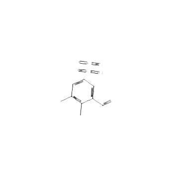 Cc1cccc(C=O)c1C.N=C=O.N=C=O